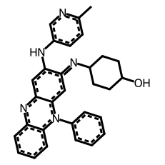 Cc1ccc(Nc2cc3nc4ccccc4n(-c4ccccc4)c-3cc2=NC2CCC(O)CC2)cn1